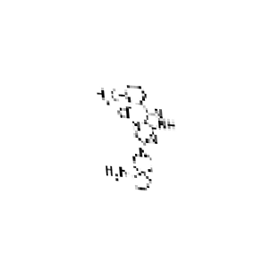 Cc1cccc(-c2n[nH]c3nc(N4CCC5(CCC[C@@H]5N)CC4)cnc23)c1Cl